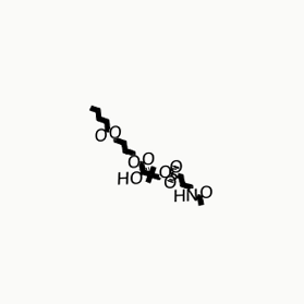 CCCCC(=O)OCCCCOC(=O)[C@H](O)C(C)(C)COS(=O)(=O)CCCNC(C)=O